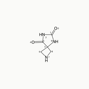 O=C1NC(=O)C2(CNC2)N1